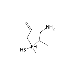 C=CC[PH](C)(S)C(C)CN